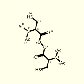 CC(=O)N(C(C)=O)[C@@H](CS)C(=O)OOC(=O)[C@H](CS)N(C(C)=O)C(C)=O